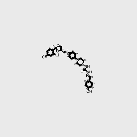 C[C@]1(c2ccc(Cl)cc2Cl)OC[C@@H](COc2ccc(N3CCN(NC(=O)NN=Cc4ccc(O)cc4)CC3)cc2)O1